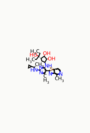 CCC(O)(CC)[C@H]1CC(Nc2nc(N[C@H](C)C3CC3)nc(C)c2-c2nc3c(C)nccc3s2)[C@H](O)[C@@H]1O